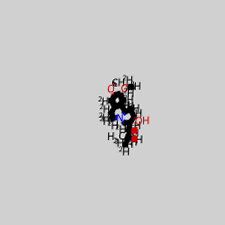 [2H]c1c(OC)c(OC([2H])([2H])[2H])c([2H])c2c1C([2H])([2H])C([2H])([2H])N1CC([2H])(C([2H])([2H])C(C)(C([2H])([2H])[2H])C([2H])([2H])[2H])C([2H])(O)C([2H])([2H])C21[2H]